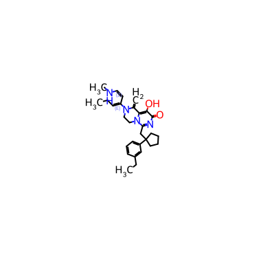 C=C1c2c(O)c(=O)nc(CC3(c4cccc(CC)c4)CCCC3)n2CCN1C(/C=C\NC)=C/CC